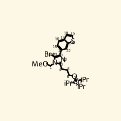 COCn1c(CCCO[Si](C(C)C)(C(C)C)C(C)C)nc(-c2ccc3ccsc3c2)c1Br